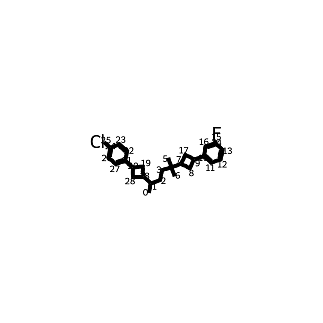 CC(CCC(C)(C)C1CC(c2cccc(F)c2)C1)C1CC(c2ccc(Cl)cc2)C1